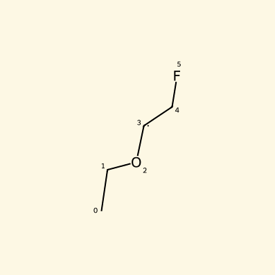 CCO[CH]CF